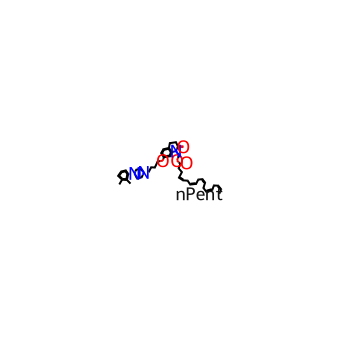 CCCCC/C=C\C/C=C\C/C=C\C/C=C\C/C=C\CCC(=O)OCN1C(=O)CCc2ccc(OCCCCN3CCN(c4cccc(C)c4C)CC3)cc21